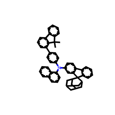 CC1(C)c2ccccc2-c2cccc(-c3ccc(N(c4ccc5c(c4)C4(c6ccccc6-5)C5CC6CC(C5)CC4C6)c4cccc5ccccc45)cc3)c21